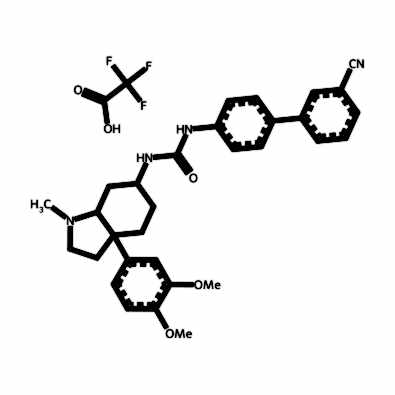 COc1ccc(C23CCC(NC(=O)Nc4ccc(-c5cccc(C#N)c5)cc4)CC2N(C)CC3)cc1OC.O=C(O)C(F)(F)F